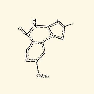 COc1ccc2c(=O)[nH]c3nc(C)cn3c2c1